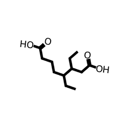 CCC(CCCC(=O)O)C(CC)CC(=O)O